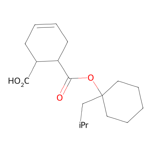 CC(C)CC1(OC(=O)C2CC=CCC2C(=O)O)CCCCC1